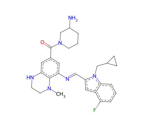 CN1CCNc2cc(C(=O)N3CCCC(N)C3)cc(/N=C/c3cc4c(F)cccc4n3CC3CC3)c21